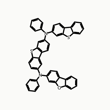 c1ccc(N(c2ccc3c(c2)sc2ccccc23)c2ccc3c(c2)sc2ccc(N(c4ccccc4)c4ccc5c(c4)oc4ccccc45)cc23)cc1